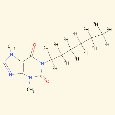 [2H]C([2H])([2H])C([2H])([2H])C([2H])([2H])C([2H])([2H])C([2H])([2H])C([2H])([2H])n1c(=O)c2c(ncn2C)n(C)c1=O